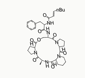 CCCC/C=C/C(=O)NC(Cc1ccccc1)C(=O)NC1COC(=O)[C@@H]2CCCN2C(=O)[C@H](C)NC(=O)[C@@H]2CCCCN2C(=O)[C@@H]2CCCN2C1=O